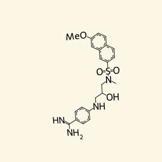 COc1ccc2ccc(S(=O)(=O)N(C)CC(O)CNc3ccc(C(=N)N)cc3)cc2c1